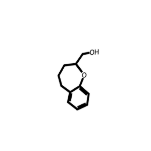 OCC1CCCc2ccccc2O1